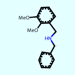 COc1cccc(CN[CH]c2ccccc2)c1OC